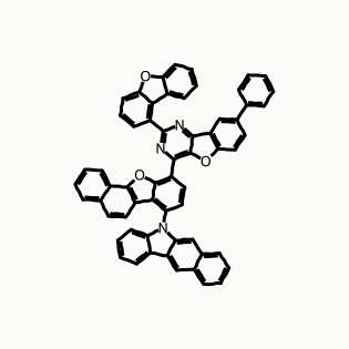 c1ccc(-c2ccc3oc4c(-c5ccc(-n6c7ccccc7c7cc8ccccc8cc76)c6c5oc5c7ccccc7ccc56)nc(-c5cccc6oc7ccccc7c56)nc4c3c2)cc1